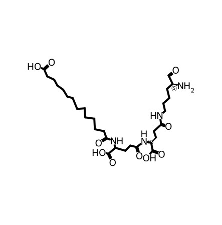 N[C@H](C=O)CCCCNC(=O)CC[C@H](NC(=O)CCC(NC(=O)CCCCCCCCCCCCC(=O)O)C(=O)O)C(=O)O